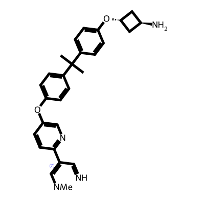 CN/C=C(\C=N)c1ccc(Oc2ccc(C(C)(C)c3ccc(O[C@H]4C[C@H](N)C4)cc3)cc2)cn1